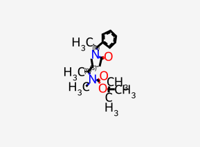 C[C@H]([C@H]1CC(=O)N([C@H](C)c2ccccc2)C1)N(C)C(=O)OC(C)(C)C